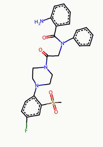 CS(=O)(=O)c1cc(F)ccc1N1CCN(C(=O)CN(C(=O)c2ccccc2N)c2ccccc2)CC1